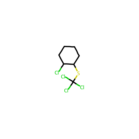 ClC1CCCCC1SC(Cl)(Cl)Cl